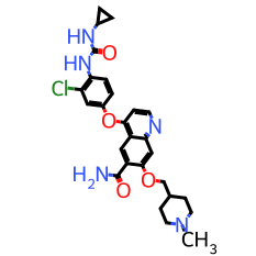 CN1CCC(COc2cc3nccc(Oc4ccc(NC(=O)NC5CC5)c(Cl)c4)c3cc2C(N)=O)CC1